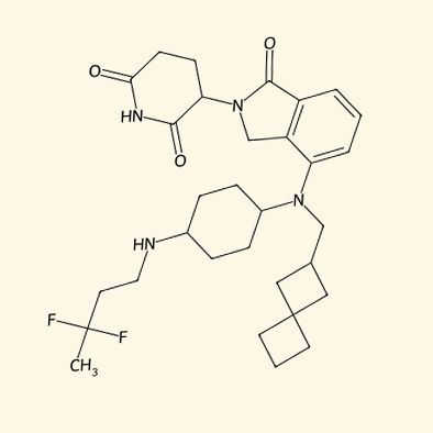 CC(F)(F)CCNC1CCC(N(CC2CC3(CCC3)C2)c2cccc3c2CN(C2CCC(=O)NC2=O)C3=O)CC1